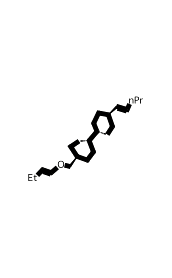 CCC=COC[C@H]1CC[C@H]([C@H]2CC[C@H](C=CCCC)CC2)CC1